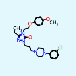 CCc1nn(CCCN2CCN(c3cccc(Cl)c3)CC2)c(=O)n1CCOc1ccc(OC)cc1